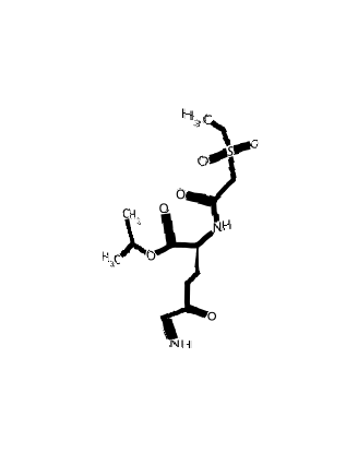 CCS(=O)(=O)CC(=O)N[C@@H](CCC(=O)C=N)C(=O)OC(C)C